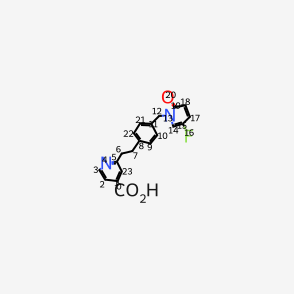 O=C(O)c1ccnc(CCc2ccc(Cn3cc(F)ccc3=O)cc2)c1